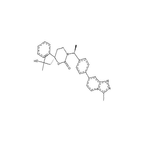 Cc1nnc2cc(-c3ccc([C@H](C)N4CC[C@](CC(C)(C)O)(c5ccccc5)OC4=O)cc3)ccn12